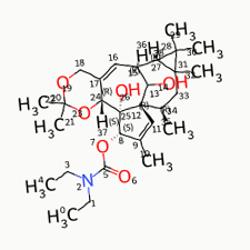 CCN(CC)C(=O)O[C@H]1C(C)=C[C@]23C(O)[C@@H](C=C4COC(C)(C)O[C@H]4[C@]12O)[C@@H]1C(C)(C)C1(C)C[C@H]3C